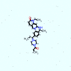 C=CC(=O)N1CCN([C@@H](CC)c2ccc([C@H](C)Nc3cc4c(ccc(=O)n4CC)cn3)cc2)CC1